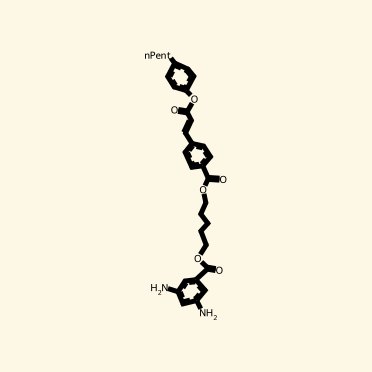 CCCCCc1ccc(OC(=O)/C=C/c2ccc(C(=O)OCCCCCOC(=O)c3cc(N)cc(N)c3)cc2)cc1